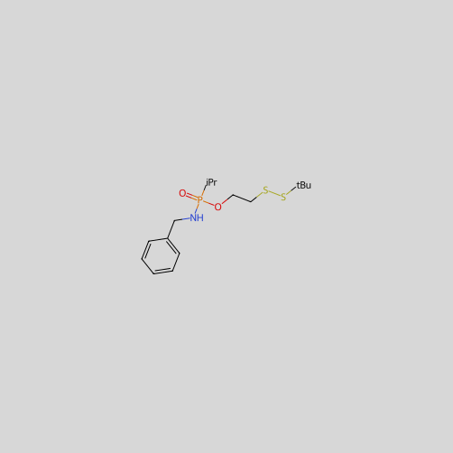 CC(C)P(=O)(NCc1ccccc1)OCCSSC(C)(C)C